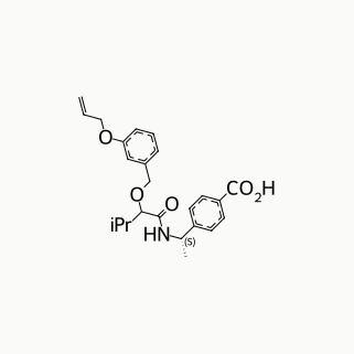 C=CCOc1cccc(COC(C(=O)N[C@@H](C)c2ccc(C(=O)O)cc2)C(C)C)c1